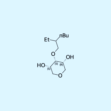 CCCCC(CC)CO[C@@H]1[C@H](O)COC[C@@H]1O